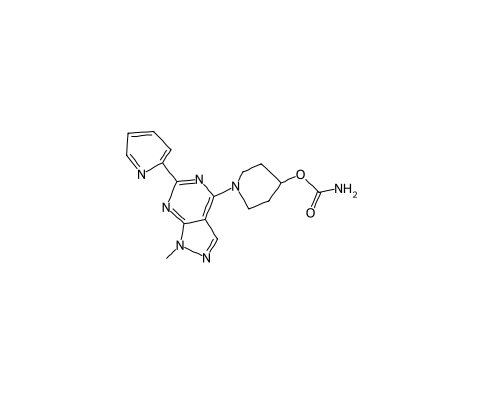 Cn1ncc2c(N3CCC(OC(N)=O)CC3)nc(-c3ccccn3)nc21